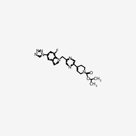 CC(C)OC(=O)N1CC=C(c2cnc(Cn3ccc4cc(-n5cnnn5)cc(F)c43)cn2)CC1